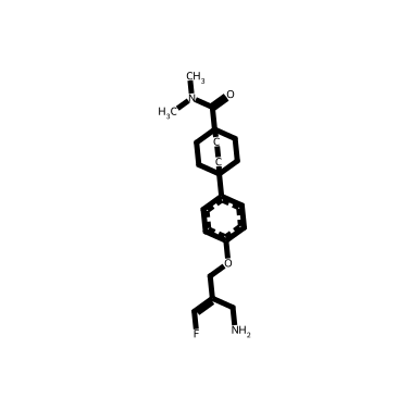 CN(C)C(=O)C12CCC(c3ccc(OC/C(=C/F)CN)cc3)(CC1)CC2